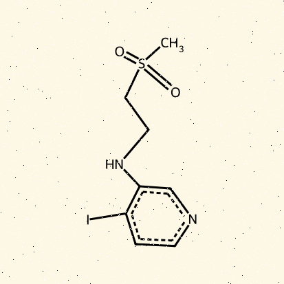 CS(=O)(=O)CCNc1cnccc1I